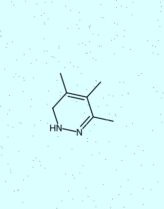 CC1=NNCC(C)=C1C